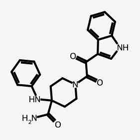 NC(=O)C1(Nc2ccccc2)CCN(C(=O)C(=O)c2c[nH]c3ccccc23)CC1